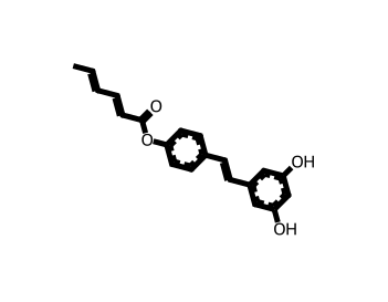 CC=CC=CC(=O)Oc1ccc(C=Cc2cc(O)cc(O)c2)cc1